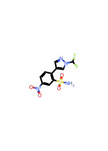 NS(=O)(=O)c1cc([N+](=O)[O-])ccc1-c1cnn(C(F)F)c1